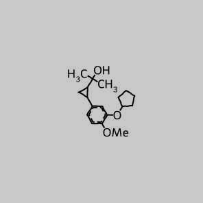 COc1ccc(C2CC2C(C)(C)O)cc1OC1CCCC1